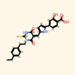 CCc1ccc(CCN2C(=O)C(=Cc3ccc(-c4ccc(C(=O)O)c(O)c4)[nH]3)C(=O)NC2=S)cc1